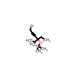 CCC(C#CCBr)(CC)O[Si](C)(C)C